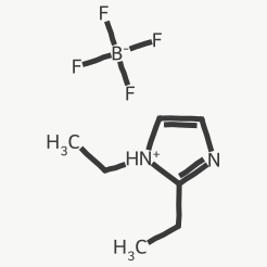 CCC1=NC=C[NH+]1CC.F[B-](F)(F)F